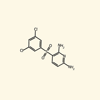 Nc1ccc(S(=O)(=O)c2cc(Cl)cc(Cl)c2)c(N)n1